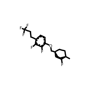 CC12CCC(COc3ccc(CCC(F)(F)F)c(F)c3F)(C=C1F)CC2